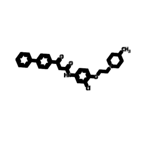 CC1CCN(CCOc2ccc(NC(=O)CC(=O)c3ccc(-c4ccccc4)cc3)cc2Cl)CC1